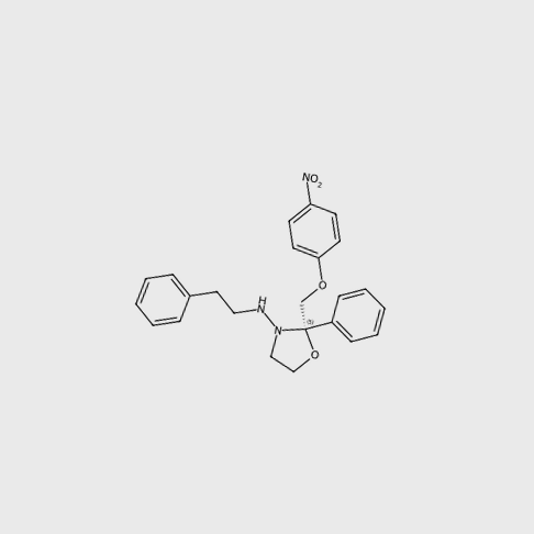 O=[N+]([O-])c1ccc(OC[C@]2(c3ccccc3)OCCN2NCCc2ccccc2)cc1